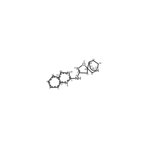 c1ccc2nc(NC3=NOC4(C3)CN3CCC4CC3)ncc2c1